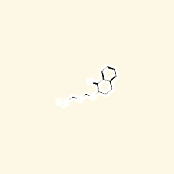 CCOCOC1CCc2ccccc2C1=O